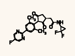 Cc1cc(-c2ncc(F)cn2)cc(C)c1C1C(=O)CC(CC(=O)NC2CC2(F)F)C1=O